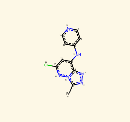 CC(C)c1nnc2c(Nc3ccncc3)cc(Cl)nn12